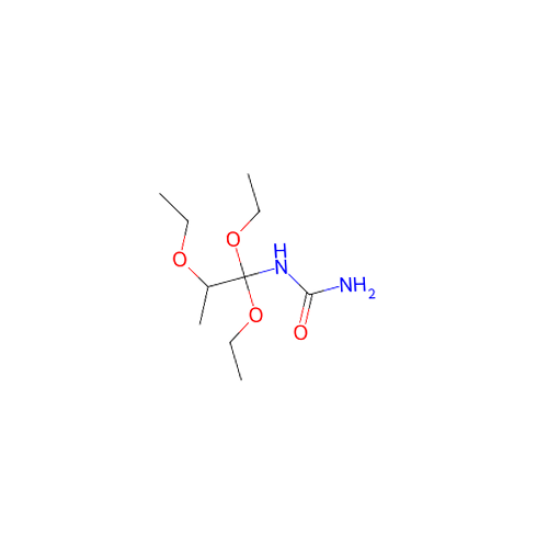 CCOC(C)C(NC(N)=O)(OCC)OCC